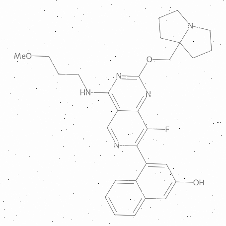 COCCCNc1nc(OCC23CCCN2CCC3)nc2c(F)c(-c3cc(O)cc4ccccc34)ncc12